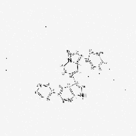 c1cncc(-c2cnc3[nH]cc(-c4ccn5ncc(-c6cccnc6)c5c4)c3c2)c1